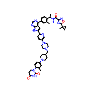 Cc1cc(-c2ncnc3[nH]c(-c4ccc(N5CCN(CC6CCN(c7ccc(N8CCC(=O)NC8=O)c(C)c7)CC6)CC5)cn4)cc23)ccc1C(C)NC(=O)c1noc(C2(C)CC2)n1